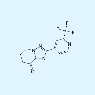 O=C1CCCn2nc(-c3ccnc(C(F)(F)F)c3)nc21